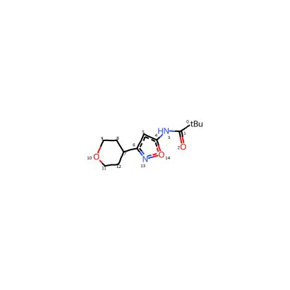 CC(C)(C)C(=O)Nc1cc(C2CCOCC2)no1